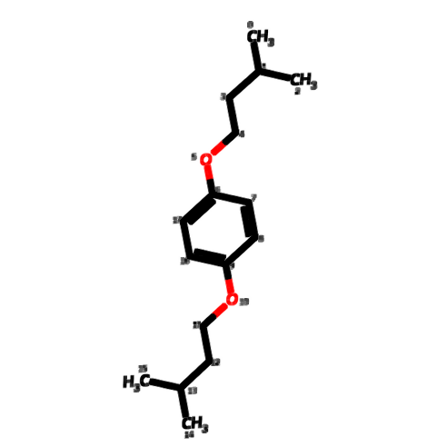 CC(C)CCOc1ccc(OCCC(C)C)cc1